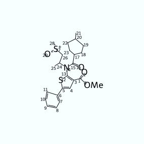 COC(=O)c1cc(-c2ccccc2)sc1N(C(=O)C1CCC(C)CC1)C(C)C[S+](C)[O-]